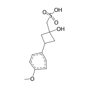 COc1ccc(C2CC(O)(CS(=O)(=O)O)C2)cc1